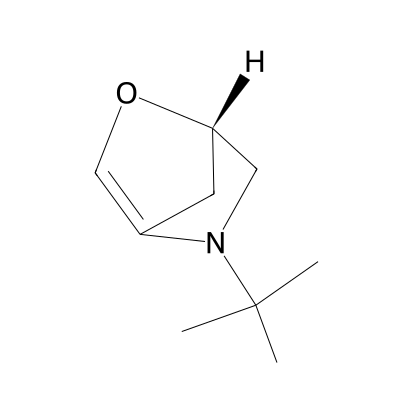 CC(C)(C)N1C[C@@H]2CC1=CO2